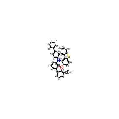 CC(C)(C)c1cccc2c1oc1c(N(c3ccc(-c4ccccc4)cc3)c3cccc4sc5ccccc5c34)cccc12